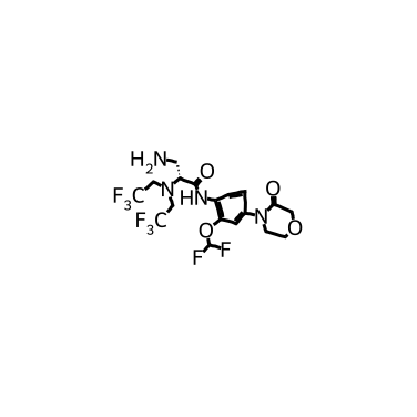 NC[C@H](C(=O)Nc1ccc(N2CCOCC2=O)cc1OC(F)F)N(CC(F)(F)F)CC(F)(F)F